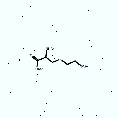 COC(=O)C(CSCCSC)NC(C)=O